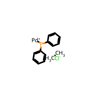 CC.[Cl-].[Pd+][P](c1ccccc1)c1ccccc1